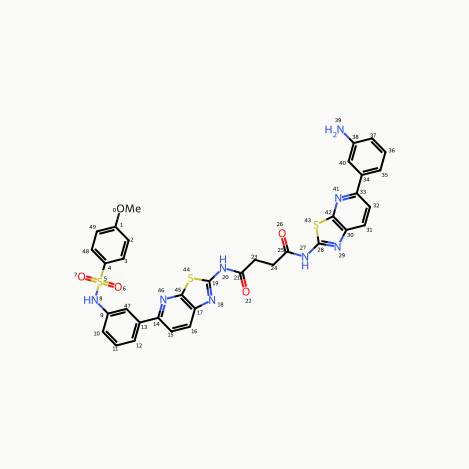 COc1ccc(S(=O)(=O)Nc2cccc(-c3ccc4nc(NC(=O)CCC(=O)Nc5nc6ccc(-c7cccc(N)c7)nc6s5)sc4n3)c2)cc1